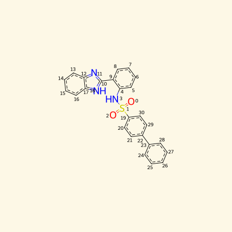 O=S(=O)(Nc1ccccc1-c1nc2ccccc2[nH]1)c1ccc(-c2ccccc2)cc1